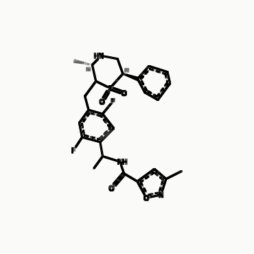 Cc1cc(C(=O)NC(C)c2cc(F)c(CC3[C@H](C)NC[C@@H](c4ccccc4)S3(=O)=O)cc2F)on1